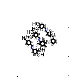 N#Cc1ccc(/C=C/c2ccc(O)c(O)c2)cc1.Oc1ccc(/C=C/c2c(F)c(F)c(F)c(F)c2F)cc1O.Oc1ccc(/C=C/c2cc[n+](Cc3ccccc3)cc2)cc1O